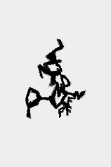 CCCc1nc(Cn2c(-c3cccc(C)c3)cc(C(F)(F)F)c(C#N)c2=O)cs1